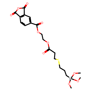 CO[Si](CCCSCCC(=O)OCCOC(=O)c1ccc2c(c1)C(=O)OC2=O)(OC)OC